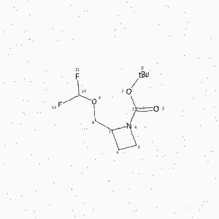 CC(C)(C)OC(=O)N1CCC1COC(F)F